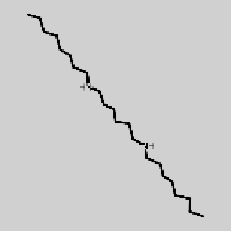 CCCCCCCCNCCCCCCNCCCCCCCC